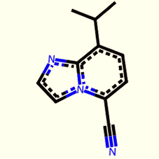 CC(C)c1ccc(C#N)n2ccnc12